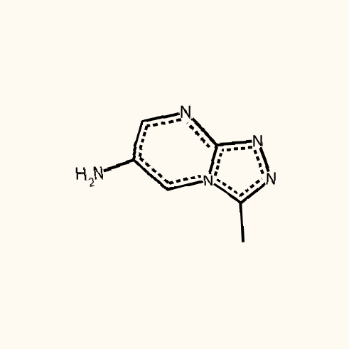 Cc1nnc2ncc(N)cn12